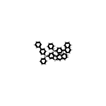 c1ccc(-c2ccc(N(c3ccccc3)c3cc(N(c4ccccc4)c4ccc(-c5cccc6ccccc56)cc4)c4c(c3)sc3cc5ccccc5cc34)cc2)cc1